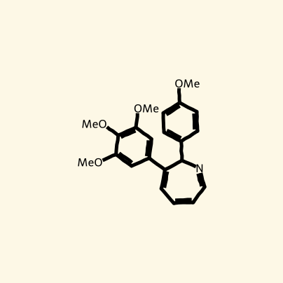 COc1ccc(C2N=CC=CC=C2c2cc(OC)c(OC)c(OC)c2)cc1